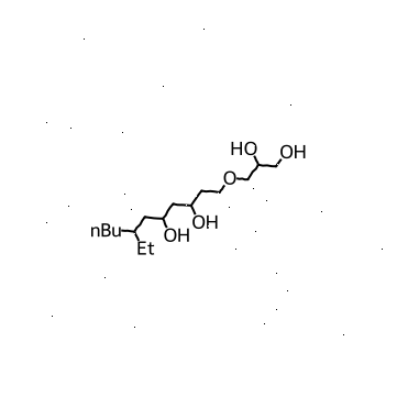 CCCCC(CC)CC(O)CC(O)CCOCC(O)CO